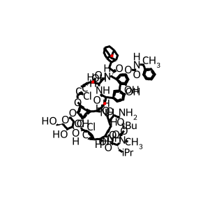 CC(C)C[C@H](C(=O)N[C@H]1C(=O)C[C@@H](CC(N)=O)C(=O)N[C@H]2C(=O)C[C@@H]3C(=O)N[C@H](C(=O)N[C@H](C(=O)CC4C5CC6CC(C5)CC4C6)c4cc(OC(=O)N[C@@H](C)c5ccccc5)cc(O)c4-c4cc3ccc4O)[C@H](O)c3ccc(c(Cl)c3)Oc3cc2cc(c3OC2O[C@H](CO)[C@@H](O)[C@H](O)[C@H]2O)Oc2ccc(cc2Cl)[C@H]1O)N(C)C(=O)OC(C)(C)C